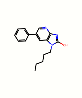 CCCCCn1c(O)nc2ncc(-c3ccccc3)cc21